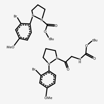 COc1ccc(N2CCCN2C(=O)CNC(=O)OC(C)(C)C)c(Br)c1.COc1ccc(N2CCCN2C(=O)OC(C)(C)C)c(Br)c1